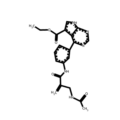 C=C(CNC(C)=O)C(=O)Nc1cccc(-c2ncnc3[nH]cc(C(=O)OCC)c23)c1